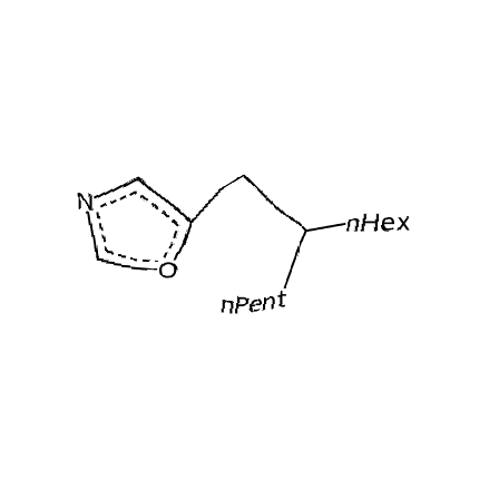 CCCCCCC(CCCCC)Cc1cnco1